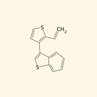 C=Cc1sccc1-c1csc2ccccc12